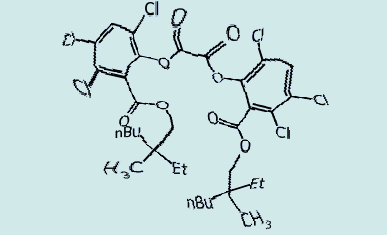 CCCCC(C)(CC)COC(=O)c1c(Cl)c(Cl)cc(Cl)c1OC(=O)C(=O)Oc1c(Cl)cc(Cl)c(Cl)c1C(=O)OCC(C)(CC)CCCC